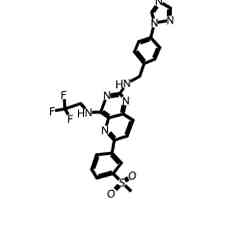 CS(=O)(=O)c1cccc(-c2ccc3nc(NCc4ccc(-n5cncn5)cc4)nc(NCC(F)(F)F)c3n2)c1